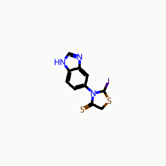 S=C1CSC(I)N1c1ccc2[nH]cnc2c1